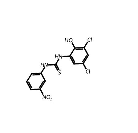 O=[N+]([O-])c1cccc(NC(=S)Nc2cc(Cl)cc(Cl)c2O)c1